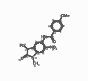 COc1ccc(C(=O)Nc2cc3c(cc2[N+](=O)[O-])N(C)C(=O)C3C(C)C)cc1